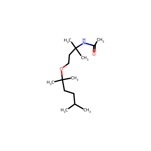 CC(=O)NC(C)(C)CCOC(C)(C)CCC(C)C